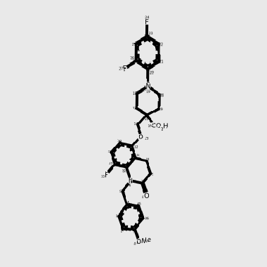 COc1ccc(CN2C(=O)CCc3c(OCC4(C(=O)O)CCN(c5ccc(F)cc5F)CC4)ccc(F)c32)cc1